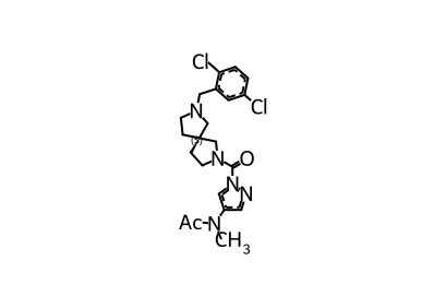 CC(=O)N(C)c1cnn(C(=O)N2CC[C@]3(CCN(Cc4cc(Cl)ccc4Cl)C3)C2)c1